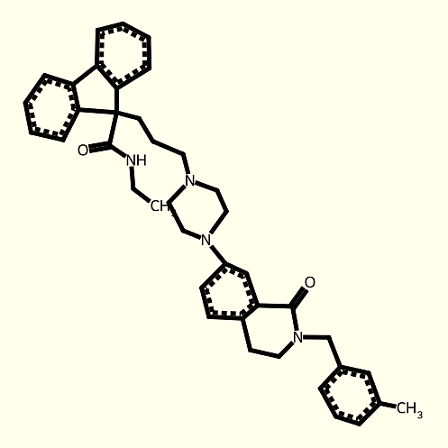 CCNC(=O)C1(CCCN2CCN(c3ccc4c(c3)C(=O)N(Cc3cccc(C)c3)CC4)CC2)c2ccccc2-c2ccccc21